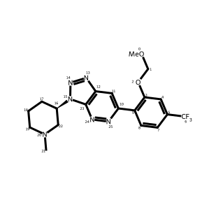 COCOc1cc(C(F)(F)F)ccc1-c1cc2nnn([C@@H]3CCCN(C)C3)c2nn1